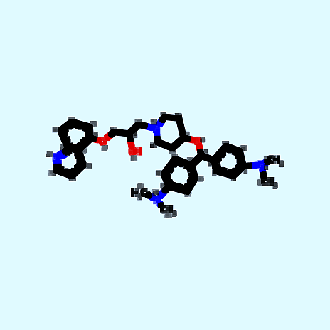 CN(C)c1ccc(C(OC2CCN(CC(O)COc3cccc4ncccc34)CC2)c2ccc(N(C)C)cc2)cc1